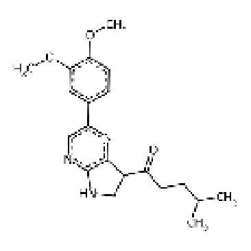 COc1ccc(-c2cnc3c(n2)C(C(=O)CCC(C)C)CN3)cc1OC